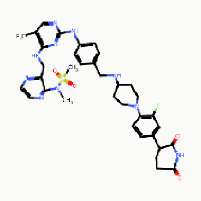 CN(c1nccnc1CNc1nc(Nc2ccc(CNC3CCN(c4ccc(C5CCC(=O)NC5=O)cc4F)CC3)cc2)ncc1C(F)(F)F)S(C)(=O)=O